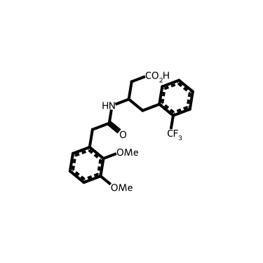 COc1cccc(CC(=O)NC(CC(=O)O)Cc2ccccc2C(F)(F)F)c1OC